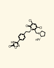 CCC[C@H]1CCCN1Cc1c(Cl)cc(Cl)c(=O)n1CCc1ccc(-c2noc(=O)[nH]2)cc1